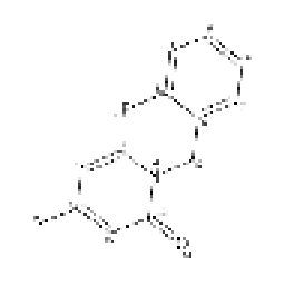 Cc1ccn(Cc2ccccc2F)c(=O)c1